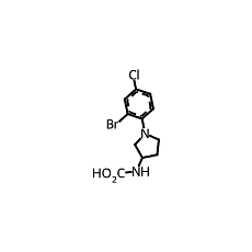 O=C(O)NC1CCN(c2ccc(Cl)cc2Br)C1